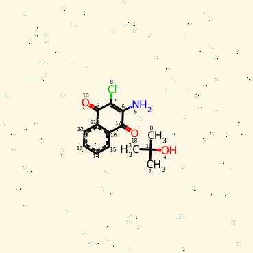 CC(C)(C)O.NC1=C(Cl)C(=O)c2ccccc2C1=O